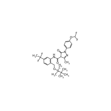 CC1=NN(c2ccc(OC(F)F)cc2)C(=O)C1C(=O)Nc1cc(C(C)(F)F)ccc1CO[Si](C)(C)C(C)(C)C